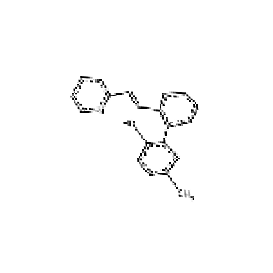 Cc1ccc(O)c(-c2ccccc2C=Cc2ccccn2)c1